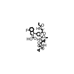 C=CC(=O)N[C@H](C)C(=O)N1C[C@H](C2c3cccc(F)c3CN2C(=O)O)C[C@H]1C(=O)N[C@]1(C(=O)NS(=O)(=O)C2CC2)C[C@H]1C=C